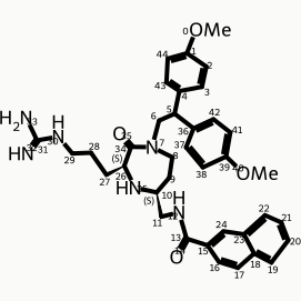 COc1ccc(C(CN2CC[C@@H](CNC(=O)c3ccc4ccccc4c3)N[C@@H](CCCNC(=N)N)C2=O)c2ccc(OC)cc2)cc1